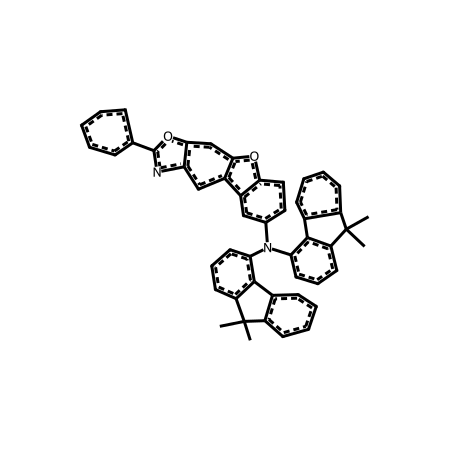 CC1(C)c2ccccc2-c2c(N(c3ccc4oc5cc6oc(-c7ccccc7)nc6cc5c4c3)c3cccc4c3-c3ccccc3C4(C)C)cccc21